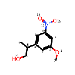 COc1cc([C](C)CO)cc([N+](=O)[O-])c1